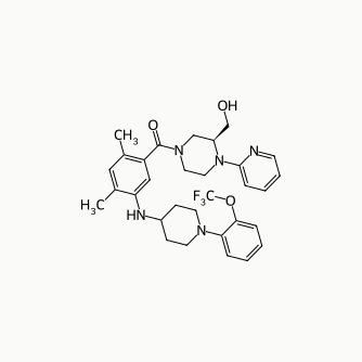 Cc1cc(C)c(C(=O)N2CCN(c3ccccn3)[C@H](CO)C2)cc1NC1CCN(c2ccccc2OC(F)(F)F)CC1